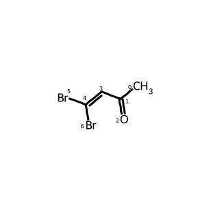 CC(=O)C=C(Br)Br